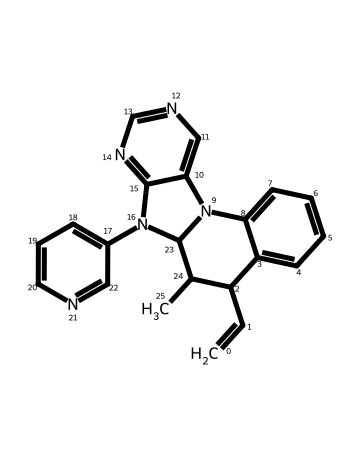 C=CC1c2ccccc2N2c3cncnc3N(c3cccnc3)C2C1C